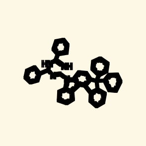 N=C(NC(/N=C/n1c2ccccc2c2c3c(ccc21)C(c1ccccc1)(c1ccccc1)c1ccccc1-3)c1ccccc1)c1ccccc1